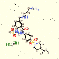 CCC(C)C1CCN(S(=O)(=O)c2ccc(NC(=O)c3cc(CNCCCN)ccc3N(C)S(C)(=O)=O)cc2)CC1.Cl.Cl